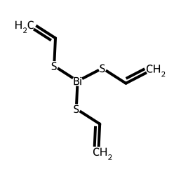 C=C[S][Bi]([S]C=C)[S]C=C